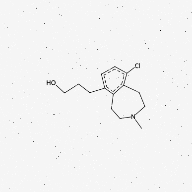 CN1CCc2c(Cl)ccc(CCCO)c2CC1